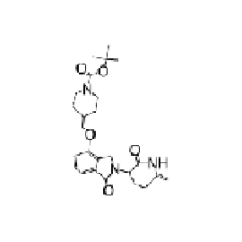 C=C1CCC(N2Cc3c(OCC4CCN(C(=O)OC(C)(C)C)CC4)cccc3C2=O)C(=O)N1